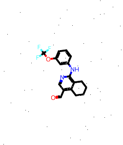 O=Cc1cnc(Nc2cccc(OC(F)(F)F)c2)c2c1CCCC2